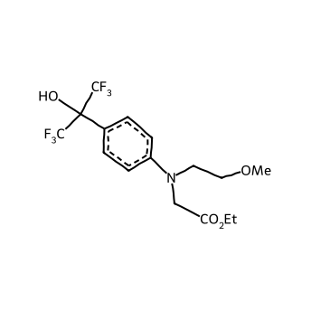 CCOC(=O)CN(CCOC)c1ccc(C(O)(C(F)(F)F)C(F)(F)F)cc1